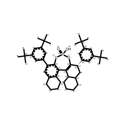 CC(C)(C)c1cc(-c2cc3c(c4c2OP(=O)(O)OC2=C4C4CCCCC4C[C@H]2c2cc(C(C)(C)C)cc(C(C)(C)C)c2)CCCC3)cc(C(C)(C)C)c1